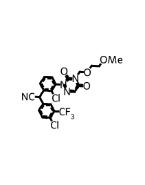 COCCOCn1c(=O)cnn(-c2cccc(C(C#N)c3ccc(Cl)c(C(F)(F)F)c3)c2Cl)c1=O